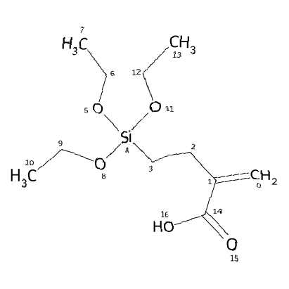 C=C(CC[Si](OCC)(OCC)OCC)C(=O)O